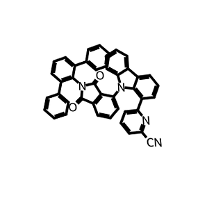 N#Cc1cccc(-c2cccc3c4ccccc4n(-c4cccc5c4C(=O)N(c4c(-c6ccccc6)cccc4-c4ccccc4)C5=O)c23)n1